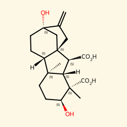 C=C1C[C@]23C[C@@]1(O)CC[C@H]2[C@]1(C)CC[C@H](O)[C@@](C)(C(=O)O)[C@H]1[C@@H]3C(=O)O